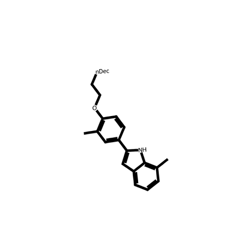 CCCCCCCCCCCCOc1ccc(-c2cc3cccc(C)c3[nH]2)cc1C